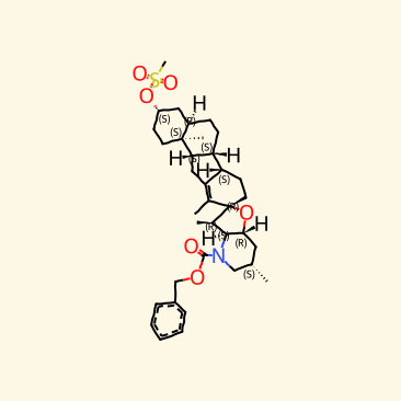 CC1=C2C[C@H]3[C@H](CC[C@@H]4C[C@@H](OS(C)(=O)=O)CC[C@@]43C)[C@@H]2CC[C@]12O[C@@H]1C[C@H](C)CN(C(=O)OCc3ccccc3)[C@H]1[C@H]2C